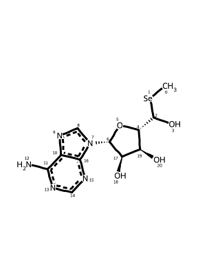 C[Se]C(O)[C@H]1O[C@@H](n2cnc3c(N)ncnc32)[C@H](O)[C@@H]1O